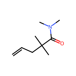 C=CCC(C)(C)C(=O)N(C)C